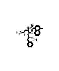 Cc1ccc(S(=O)(=O)NC(CCN)C(=O)N[C@H](CO)Cc2ccccc2)c2ccccc12